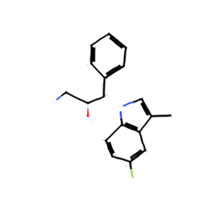 Cc1cn([C@@H](c2ccccc2)[C@@H](O)CN)c2ccc(F)cc12